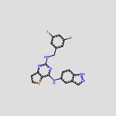 Fc1cc(F)cc(CNc2nc(Nc3ccc4[nH]ncc4c3)c3sccc3n2)c1